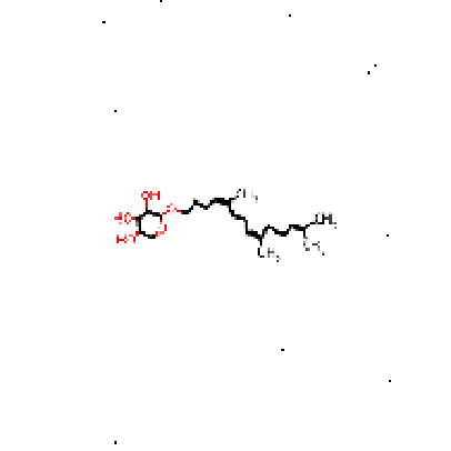 CC(C)=CCCC(C)=CCCC(C)=CCCCO[C@H]1OC[C@@H](O)[C@H](O)[C@H]1O